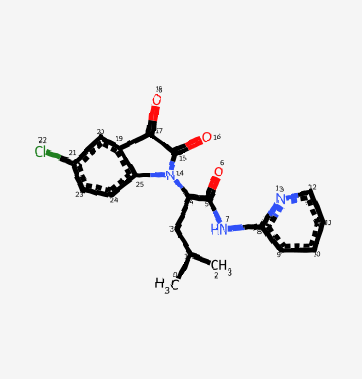 CC(C)CC(C(=O)Nc1ccccn1)N1C(=O)C(=O)c2cc(Cl)ccc21